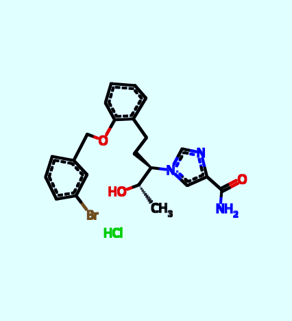 C[C@H](O)[C@@H](CCc1ccccc1OCc1cccc(Br)c1)n1cnc(C(N)=O)c1.Cl